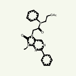 CC(=O)OCCN(C(=O)Cn1c(=O)n(C)c2nc(-c3ccccc3)ncc21)c1ccccc1